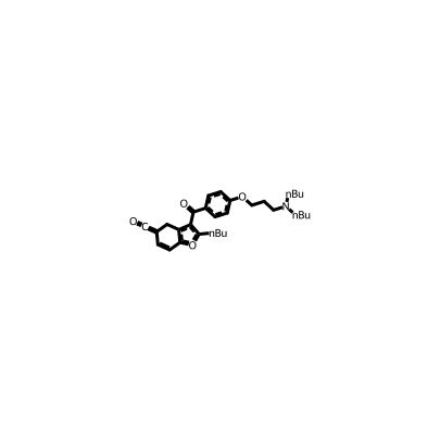 CCCCc1oc2c(c1C(=O)c1ccc(OCCCN(CCCC)CCCC)cc1)CC(=C=O)C=C2